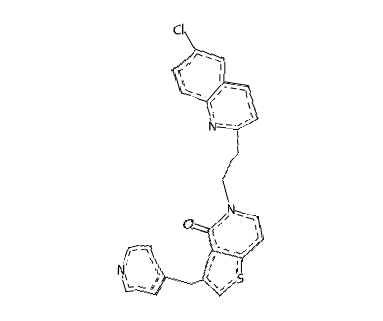 O=c1c2c(-c3ccncc3)csc2ccn1CCc1ccc2cc(Cl)ccc2n1